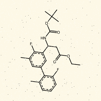 CCOC(=O)CC(NC(=O)OC(C)(C)C)c1cc(-c2c(C)cccc2F)cc(C)c1F